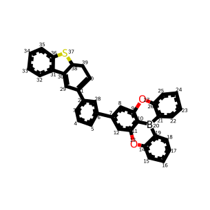 C1=C(c2cccc(-c3cc4c5c(c3)Oc3ccccc3B5c3ccccc3O4)c2)C=C2c3ccccc3SC2C1